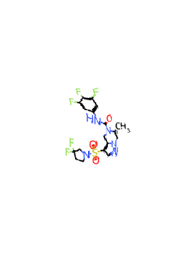 C[C@H]1Cn2ncc(S(=O)(=O)N3CCC(F)(F)C3)c2CN1C(=O)Nc1cc(F)c(F)c(F)c1